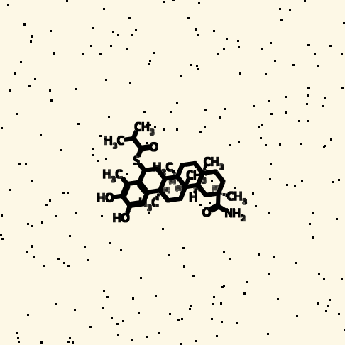 Cc1c(O)c(O)cc2c1C(SC(=O)C(C)C)CC1[C@@]2(C)CC[C@@]2(C)[C@@H]3C[C@](C)(C(N)=O)CC[C@]3(C)CC[C@]12C